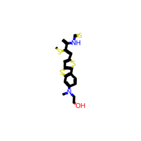 C=C(NC=S)/C(=C/c1cc2sc3cc(N(C)CCO)ccc3c2s1)SC